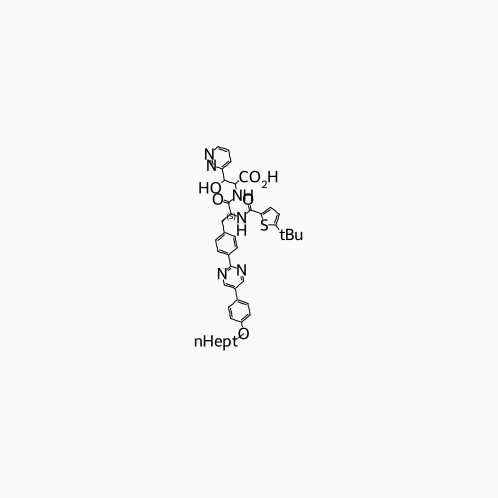 CCCCCCCOc1ccc(-c2cnc(-c3ccc(C[C@H](NC(=O)c4ccc(C(C)(C)C)s4)C(=O)NC(C(=O)O)C(O)c4cccnn4)cc3)nc2)cc1